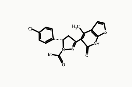 CCC(=O)N1N=C(c2c(C)c3ccsc3[nH]c2=O)C[C@H]1c1ccc(Cl)cc1